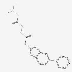 C[C@@H](C#N)NC(=O)CNC(=O)Cc1nc2ccc(-c3ccccc3)cc2s1